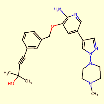 CN1CCN(n2cc(-c3cnc(N)c(OCc4cccc(C#CC(C)(C)O)c4)c3)cn2)CC1